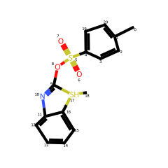 Cc1ccc(S(=O)(=O)OC2=Nc3ccccc3[SH]2C)cc1